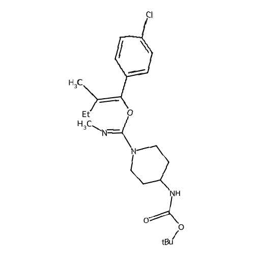 CC/C(C)=C(\O/C(=N\C)N1CCC(NC(=O)OC(C)(C)C)CC1)c1ccc(Cl)cc1